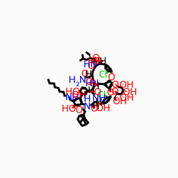 CCCCCCCCNCc1c(O)cc2c(c1O)-c1cc(ccc1O)[C@H]1CC(=O)[C@@H]3NC(=O)[C@H](CC(N)=O)CC(=O)[C@H](NC(=O)[C@H](CC)CC(C)C)[C@H](O)c4ccc(c(Cl)c4)Oc4cc3cc(c4O[C@@H]3O[C@H](CO)[C@@H](O)[C@H](O)[C@H]3O)Oc3ccc(cc3Cl)[C@@H](O)[C@H](NC1=O)C(=O)N[C@@H]2C(=O)CC1C2CC3CC(C2)CC1C3